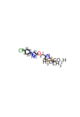 CC(C)(Sc1nc(CCOc2cnn(-c3ccc(Cl)cc3)c2)cs1)C(=O)O